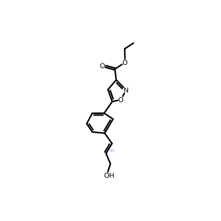 CCOC(=O)c1cc(-c2cccc(/C=C/CO)c2)on1